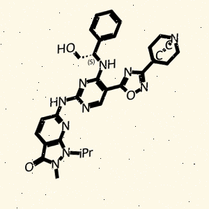 CC(C)n1c2nc(Nc3ncc(-c4nc(C56CCN(CC5)CC6)no4)c(N[C@H](CO)c4ccccc4)n3)ccc2c(=O)n1C